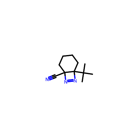 CC(C)(C)C12CCCCC1(C#N)N=N2